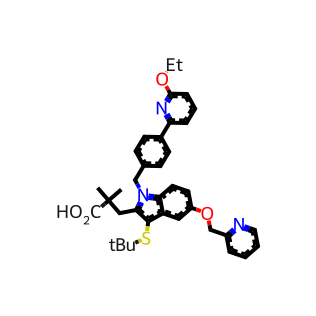 CCOc1cccc(-c2ccc(Cn3c(CC(C)(C)C(=O)O)c(SC(C)(C)C)c4cc(OCc5ccccn5)ccc43)cc2)n1